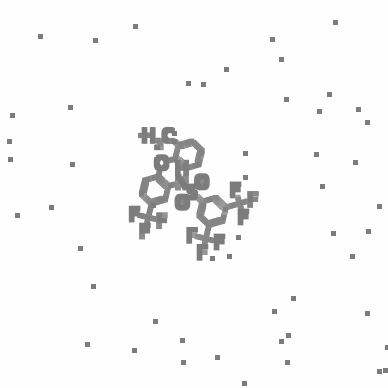 [CH2]c1ccccc1Oc1ccc(C(F)(F)F)cc1NS(=O)(=O)c1cc(C(F)(F)F)cc(C(F)(F)F)c1